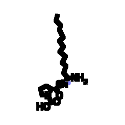 CCCCCCCCCCCC/C(N)=N\OC(=O)C1CCCN1C(=O)O